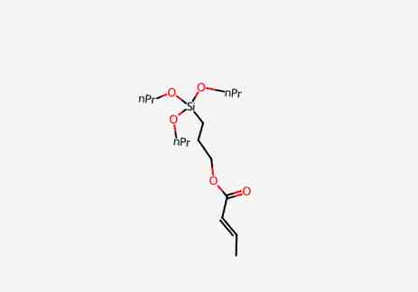 CC=CC(=O)OCCC[Si](OCCC)(OCCC)OCCC